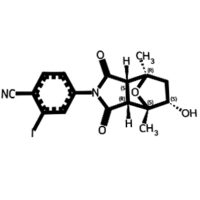 C[C@@]12O[C@](C)(C[C@@H]1O)[C@H]1C(=O)N(c3ccc(C#N)c(I)c3)C(=O)[C@H]12